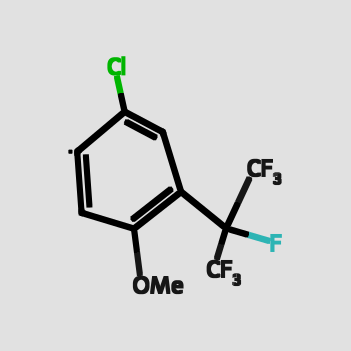 COc1c[c]c(Cl)cc1C(F)(C(F)(F)F)C(F)(F)F